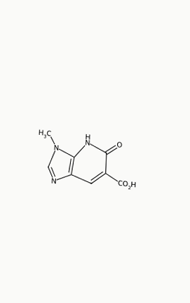 Cn1cnc2cc(C(=O)O)c(=O)[nH]c21